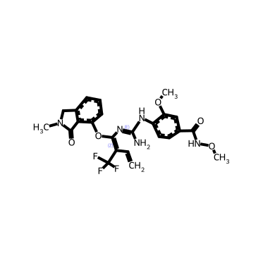 C=C/C(=C(\N=C(/N)Nc1ccc(C(=O)NOC)cc1OC)Oc1cccc2c1C(=O)N(C)C2)C(F)(F)F